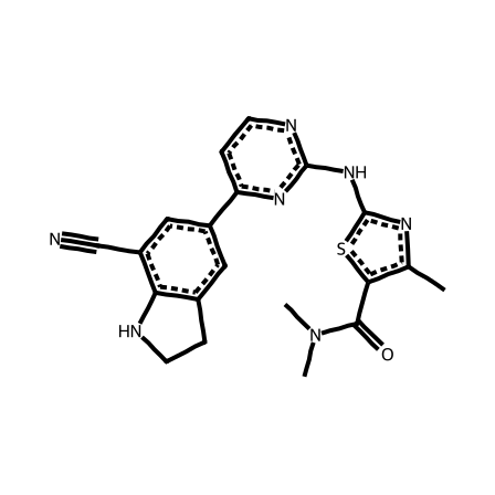 Cc1nc(Nc2nccc(-c3cc(C#N)c4c(c3)CCN4)n2)sc1C(=O)N(C)C